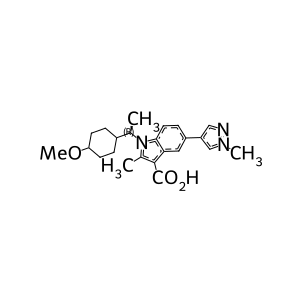 COC1CCC([C@@H](C)n2c(C)c(C(=O)O)c3cc(-c4cnn(C)c4)ccc32)CC1